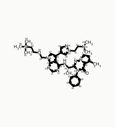 Cc1ccn2nc([C@H](C)Nc3ncnc4c3c(-c3cnn(CCN(C)C)c3)cn4COCC[Si](C)(C)C)n(-c3ccccc3)c(=O)c12